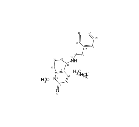 Cl.Cl.Cn1c2c(ccc1=O)C(NCCc1ccccc1)CCC2.O